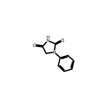 O=C1CN(c2[c]cccc2)C(=O)N1